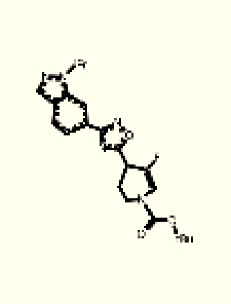 CC(C)n1ncc2ccc(-c3noc(C4CCN(C(=O)OC(C)(C)C)C=C4F)n3)cc21